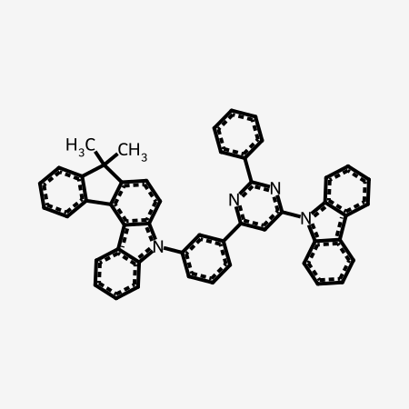 CC1(C)c2ccccc2-c2c1ccc1c2c2ccccc2n1-c1cccc(-c2cc(-n3c4ccccc4c4ccccc43)nc(-c3ccccc3)n2)c1